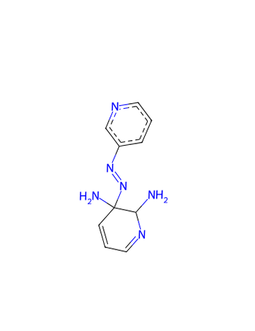 NC1N=CC=CC1(N)/N=N/c1cccnc1